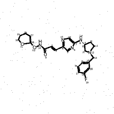 O=C(C=Cc1cnc(N[C@@H]2CCN(Cc3cccc(F)c3)C2)cn1)NOC1CCCCO1